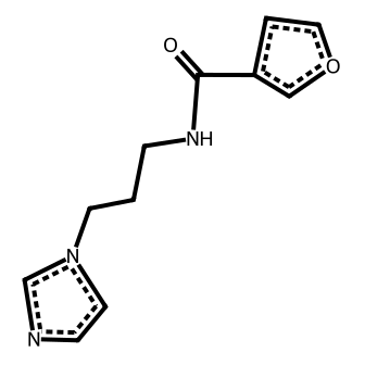 O=C(NCCCn1ccnc1)c1ccoc1